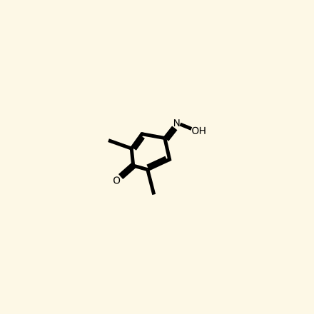 CC1=CC(=NO)C=C(C)C1=O